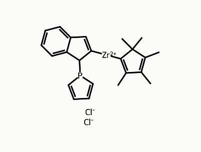 CC1=C(C)C(C)(C)[C]([Zr+2][C]2=Cc3ccccc3C2p2cccc2)=C1C.[Cl-].[Cl-]